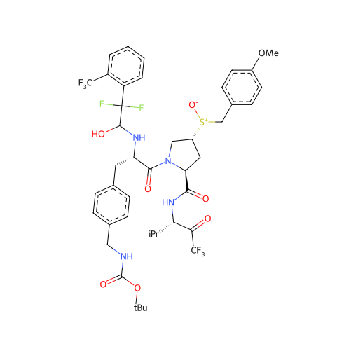 COc1ccc(C[S+]([O-])[C@@H]2C[C@@H](C(=O)N[C@H](C(=O)C(F)(F)F)C(C)C)N(C(=O)[C@H](Cc3ccc(CNC(=O)OC(C)(C)C)cc3)NC(O)C(F)(F)c3ccccc3C(F)(F)F)C2)cc1